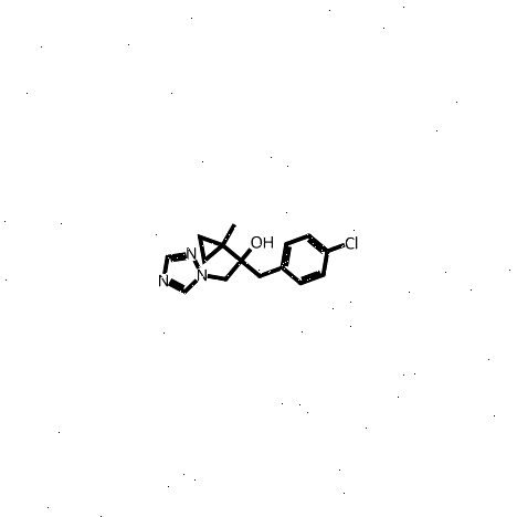 CC1(C(O)(Cc2ccc(Cl)cc2)Cn2cncn2)CC1